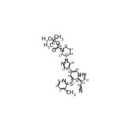 Cc1cccnc1Sc1cc(-c2cnn([C@H]3CCCN(C(=O)OC(C)(C)C)C3)c2)cn2ncc(C#N)c12